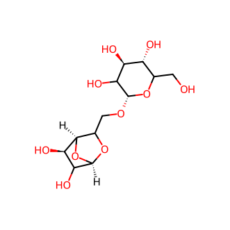 OCC1O[C@H](OCC2O[C@@H]3O[C@H]2[C@H](O)C3O)C(O)[C@@H](O)[C@@H]1O